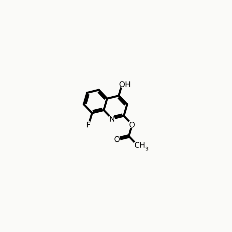 CC(=O)Oc1cc(O)c2cccc(F)c2n1